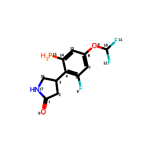 O=C1CC(c2c(F)cc(OC(F)F)cc2P)CN1